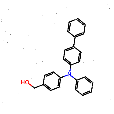 OCc1ccc(N(c2ccccc2)c2ccc(-c3ccccc3)cc2)cc1